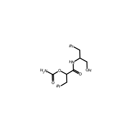 CC(C)CC(CO)NC(=O)C(CC(C)C)OC(N)=O